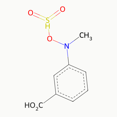 CN(O[SH](=O)=O)c1cccc(C(=O)O)c1